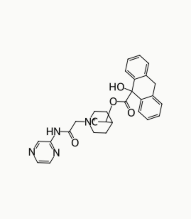 O=C(C[N+]12CCC(CC1)C(OC(=O)C1(O)c3ccccc3Cc3ccccc31)C2)Nc1cnccn1